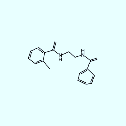 C=C(NCCNC(=C)c1ccccc1C)c1ccccc1